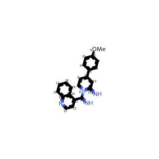 COc1ccc(-c2ccn(C(=N)c3ccnc4ccccc34)c(=N)c2)cc1